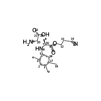 Cc1cc(C)c(N[C@@H](C)C(=O)OCCC#N)cc1C.NCC(=O)O